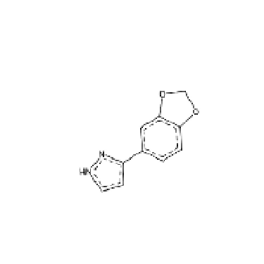 c1cc(-c2ccc3c(c2)OCO3)n[nH]1